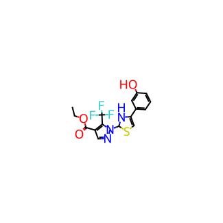 CCOC(=O)c1cnn(C2NC(c3cccc(O)c3)=CS2)c1C(F)(F)F